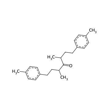 Cc1ccc(CCC(C)C(=O)C(C)CCc2ccc(C)cc2)cc1